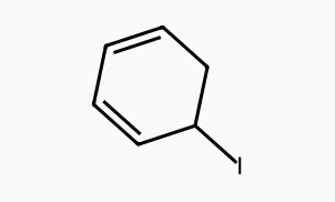 IC1C=CC=CC1